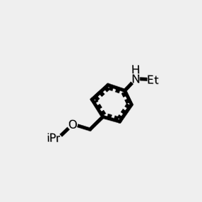 CCNc1ccc(COC(C)C)cc1